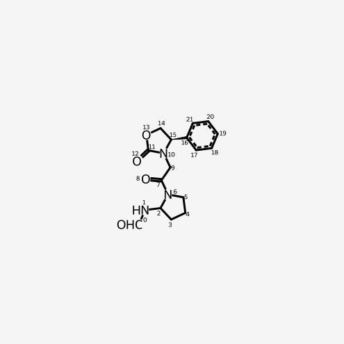 O=CNC1CCCN1C(=O)CN1C(=O)OC[C@H]1c1ccccc1